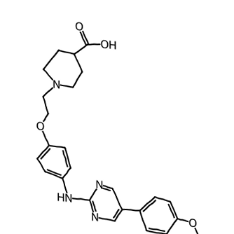 COc1ccc(-c2cnc(Nc3ccc(OCCN4CCC(C(=O)O)CC4)cc3)nc2)cc1